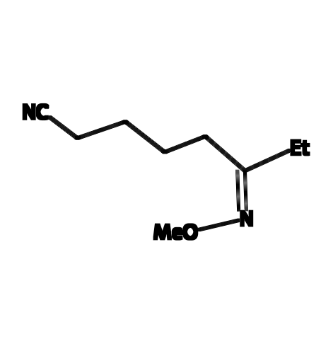 CCC(CCCCC#N)=NOC